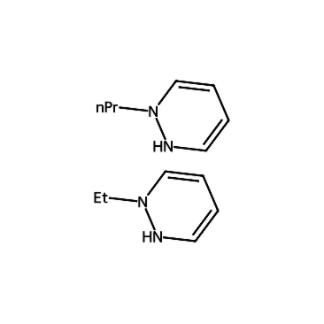 CCCN1C=CC=CN1.CCN1C=CC=CN1